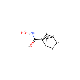 O=C(NO)C1=CC2CCC1C2